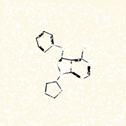 Nc1ncnc2c1c(Nc1ccccc1)nn2C1CCCC1